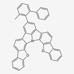 Cc1cccc(-c2ccccc2)c1-c1cc2c3ccc4c5ccccc5oc4c3n3c2c(c1)c1ccc2c4ccccc4oc2c13